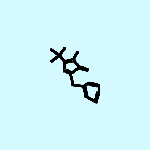 C[N+]1=C(C(C)(C)C)N=C(Cc2ccccc2)C1=O